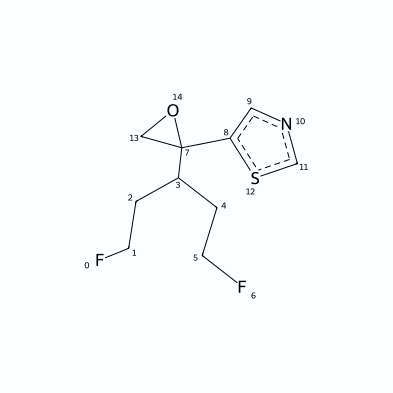 FCCC(CCF)C1(c2cncs2)CO1